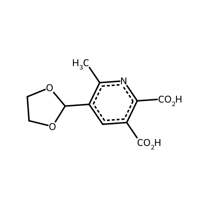 Cc1nc(C(=O)O)c(C(=O)O)cc1C1OCCO1